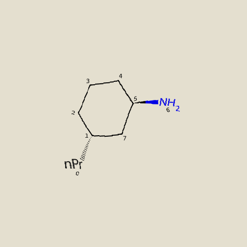 CCC[C@@H]1CCC[C@@H](N)C1